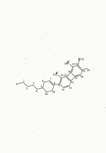 CCCCCC1CC=C(c2ccc3c(c2F)-c2c-3cc(C)c(F)c2F)CC1